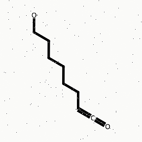 [O]CCCCCC[C]=C=O